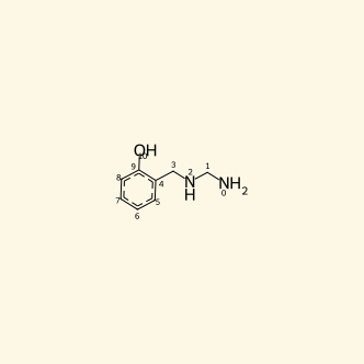 NCNCc1ccccc1O